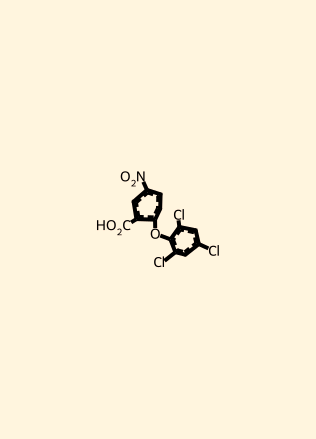 O=C(O)c1cc([N+](=O)[O-])ccc1Oc1c(Cl)cc(Cl)cc1Cl